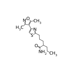 CCCC(CCCc1nc(-c2c(C)noc2C)cs1)C(N)=O